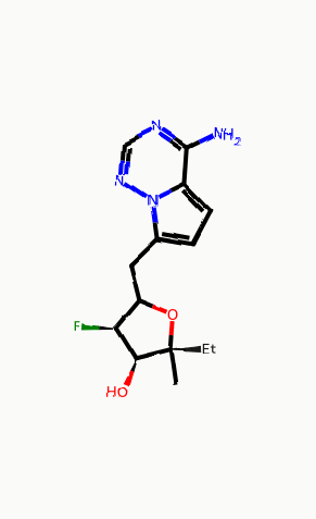 CC[C@]1(C)OC(Cc2ccc3c(N)ncnn23)[C@H](F)[C@@H]1O